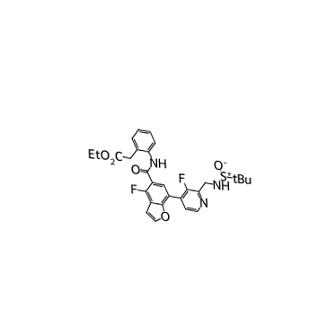 CCOC(=O)Cc1ccccc1NC(=O)c1cc(-c2ccnc(CN[S+]([O-])C(C)(C)C)c2F)c2occc2c1F